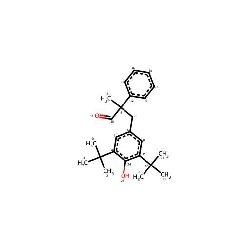 CC(C)(C)c1cc(CC(C)(C=O)c2ccccc2)cc(C(C)(C)C)c1O